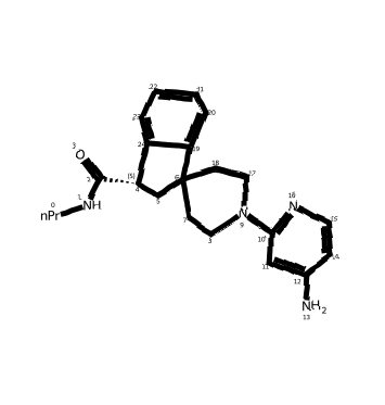 CCCNC(=O)[C@H]1CC2(CCN(c3cc(N)ccn3)CC2)c2ccccc21